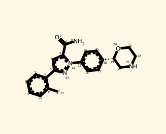 NC(=O)c1cc(-c2ccccc2F)nn1-c1ccc([C@H]2CNCCO2)cc1